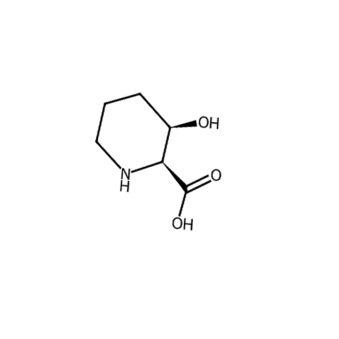 O=C(O)[C@H]1NCCC[C@H]1O